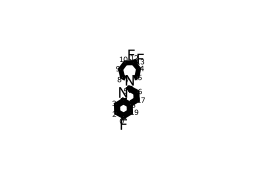 Fc1ccc2nc(N3CCCC(F)(F)CC3)ccc2c1